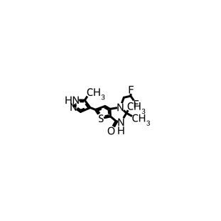 Cc1[nH]ncc1-c1cc2c(s1)C(=O)NC(C)(C)N2CC(F)F